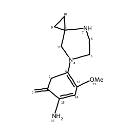 C=C1CC(N2CCNC3(CC3)C2)=C(OC)C=C1N